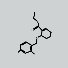 CCOC(=O)C1=CCCCC1SCc1ccc(F)cc1F